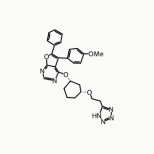 COc1ccc(-c2c(-c3ccccc3)oc3ncnc(O[C@H]4CCC[C@@H](OCCc5nnn[nH]5)C4)c23)cc1